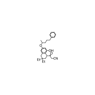 CCC1(CC)Cc2cc(OC(C)CCCc3ccccc3)cc(O)c2C(C(=O)CC#N)C1